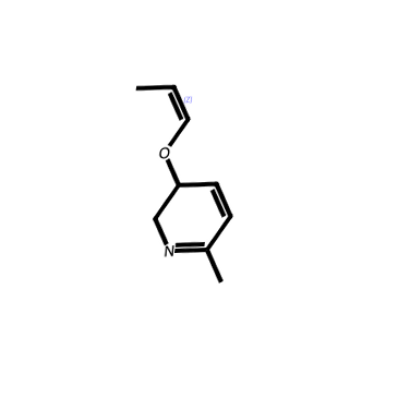 C/C=C\OC1C=CC(C)=NC1